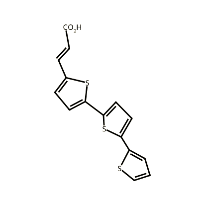 O=C(O)C=Cc1ccc(-c2ccc(-c3cccs3)s2)s1